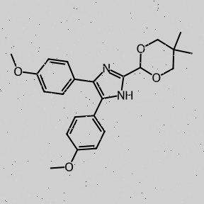 COc1ccc(-c2nc(C3OCC(C)(C)CO3)[nH]c2-c2ccc(OC)cc2)cc1